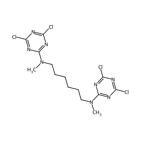 CN(CCCCCCN(C)c1nc(Cl)nc(Cl)n1)c1nc(Cl)nc(Cl)n1